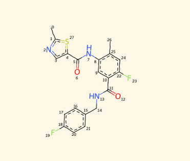 Cc1ncc(C(=O)Nc2cc(C(=O)NCc3ccc(F)cc3)c(F)cc2C)s1